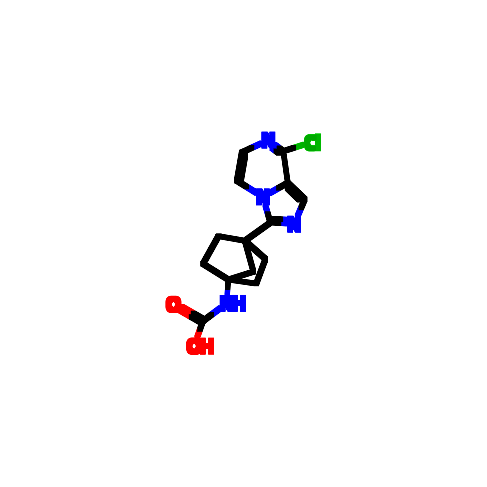 O=C(O)NC12CCC(c3ncc4c(Cl)nccn34)(CC1)C2